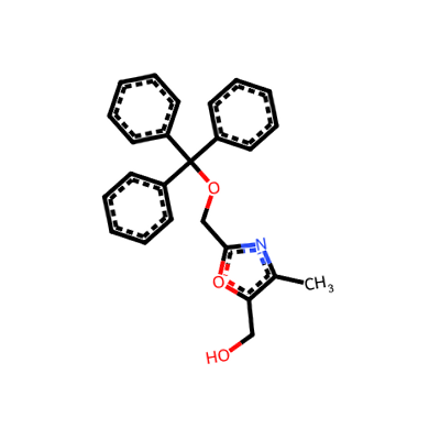 Cc1nc(COC(c2ccccc2)(c2ccccc2)c2ccccc2)oc1CO